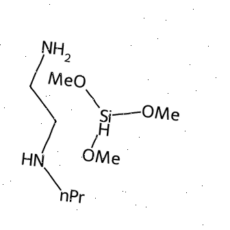 CCCNCCN.CO[SiH](OC)OC